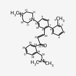 Cc1ccccc1-c1ccc(N2CCN(C)CC2)cc1C=CC(=O)c1ccccc1CN(C)C